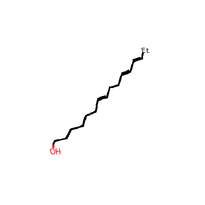 CCC=CC=CCCC=CCCCCCCO